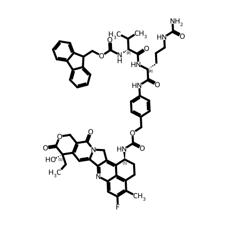 CC[C@@]1(O)C(=O)OCc2c1cc1n(c2=O)Cc2c-1nc1cc(F)c(C)c3c1c2[C@@H](NC(=O)OCc1ccc(NC(=O)[C@@H](CCCNC(N)=O)NC(=O)[C@H](NC(=O)OCC2c4ccccc4-c4ccccc42)C(C)C)cc1)CC3